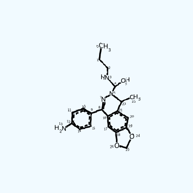 CCCNC(O)N1N=C(c2ccc(N)cc2)c2cc3c(cc2C1C)OCO3